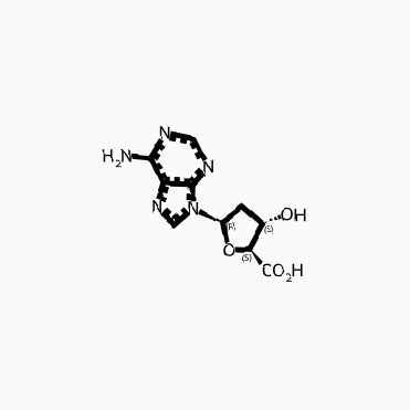 Nc1ncnc2c1ncn2[C@H]1C[C@H](O)[C@@H](C(=O)O)O1